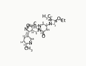 CCO[C@H]1CN(c2cnn(Cc3c(-c4ccc(C)nc4)noc3C)c(=O)c2)[C@H]1C